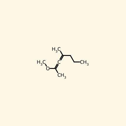 CCCC(C)=C=C(C)OC